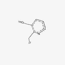 Oc1cccnc1CCl